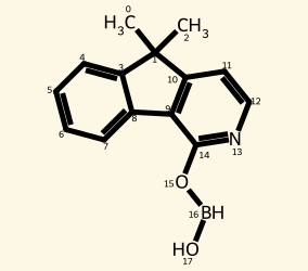 CC1(C)c2ccccc2-c2c1ccnc2OBO